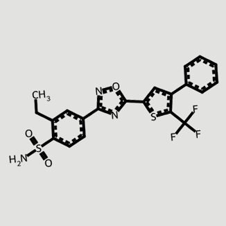 CCc1cc(-c2noc(-c3cc(-c4ccccc4)c(C(F)(F)F)s3)n2)ccc1S(N)(=O)=O